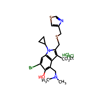 CCOC(=O)c1c(CSCc2cscn2)n(C2CC2)c2cc(Br)c(O)c(CN(C)C)c12.Cl.Cl